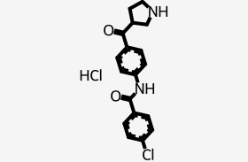 Cl.O=C(Nc1ccc(C(=O)C2CCNC2)cc1)c1ccc(Cl)cc1